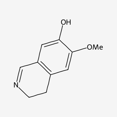 COc1cc2c(cc1O)C=NCC2